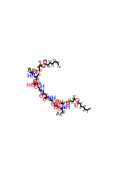 C/C=C\CCCC(=O)O[C@H](C)CCOC[C@@H](COP(=O)(O)OCCNC(=O)CC(=O)NCCOP(=O)(O)OC[C@H](COCC[C@@H](C)OC(=O)CCC/C=C\C)NC(=O)CC(C)=O)NC(=O)CC(C)=O